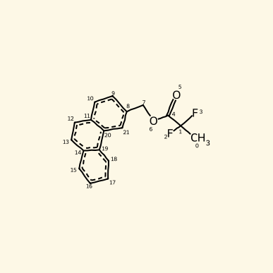 CC(F)(F)C(=O)OCc1ccc2ccc3ccccc3c2c1